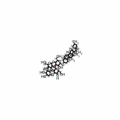 C[C@H]1CC[C@H]2[C@@H](C)[C@H]3[C@H](C[C@H]4[C@@H]5CC[C@H]6C[C@@H](O[C@@H]7O[C@H](CO)[C@H](O[C@@H]8O[C@H](CO)[C@@H](O)[C@H](O[C@@H]9OC[C@@H](O)[C@H](O)[C@H]9O)[C@H]8O[C@@H]8O[C@H](CO)[C@@H](O)[C@H](O)[C@H]8O)[C@H](O)[C@H]7O)CC[C@]6(C)[C@H]5CC[C@]34C)N2C1